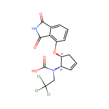 O=C1NC(=O)c2c(O[C@H]3CC=C[C@H]3N(CC(Cl)(Cl)Cl)C(=O)O)cccc21